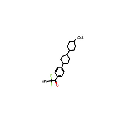 CCCCCCCCC1CCC(C2CCC(c3ccc(C(=O)C(F)(F)CCC)cc3)CC2)CC1